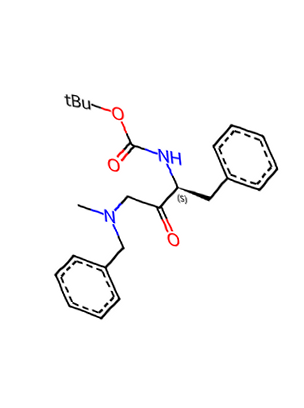 CN(CC(=O)[C@H](Cc1ccccc1)NC(=O)OC(C)(C)C)Cc1ccccc1